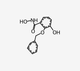 O=C(NO)c1cccc(O)c1OCc1ccccc1